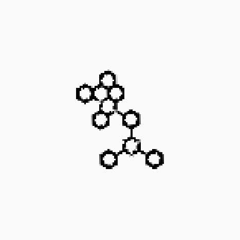 c1ccc(-c2nc(-c3ccccc3)nc(-c3cccc(-n4c5ccc6cccc7c8ccccc8n(c8ccccc84)-c5c67)c3)n2)cc1